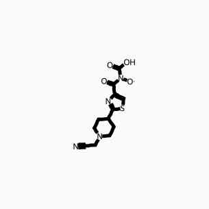 N#CCN1CCC(c2nc(C(=O)N([O])C(=O)O)cs2)CC1